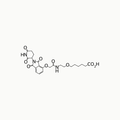 O=C(O)CCCCCOCCNC(=O)COc1cccc2c1C(=O)N(C1CCC(=O)NC1=O)C2=O